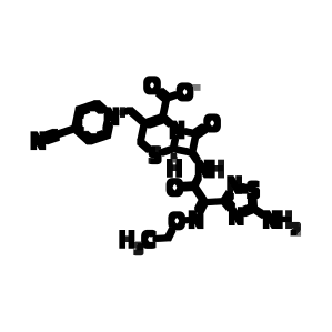 CCO/N=C(\C(=O)NC1C(=O)N2C(C(=O)[O-])=C(C[n+]3ccc(C#N)cc3)CS[C@H]12)c1nsc(N)n1